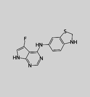 Fc1c[nH]c2ncnc(Nc3ccc4c(c3)SCN4)c12